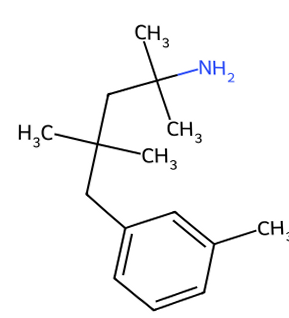 Cc1cccc(CC(C)(C)CC(C)(C)N)c1